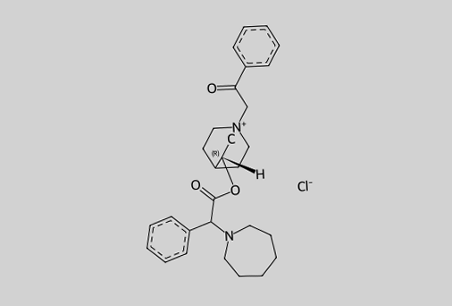 O=C(C[N+]12CCC(CC1)[C@@H](OC(=O)C(c1ccccc1)N1CCCCCC1)C2)c1ccccc1.[Cl-]